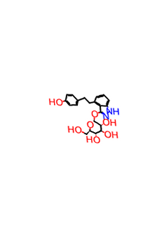 OC[C@H]1O[C@@H](Oc2n[nH]c3cccc(CCc4ccc(O)cc4)c23)[C@H](O)[C@@H](O)[C@@H]1O